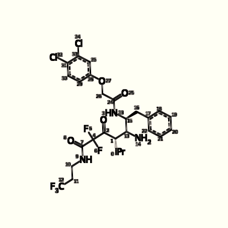 CC(C)[C@H](C(=O)C(F)(F)C(=O)NCCC(F)(F)F)C(N)[C@H](Cc1ccccc1)NC(=O)COc1ccc(Cl)c(Cl)c1